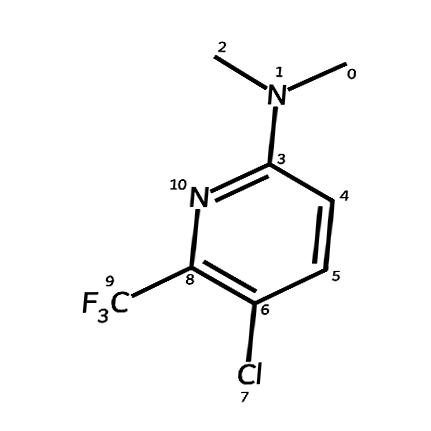 CN(C)c1ccc(Cl)c(C(F)(F)F)n1